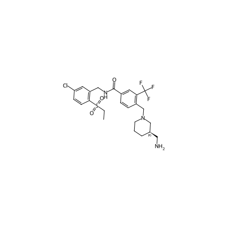 CCS(=O)(=O)c1ccc(Cl)cc1CNC(=O)c1ccc(CN2CCC[C@H](CN)C2)c(C(F)(F)F)c1